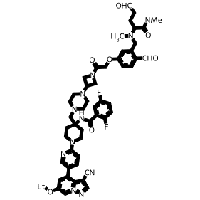 CCOc1cc(-c2ccc(N3CCC(CN4CCN(C5CN(C(=O)COc6ccc(C=O)c(CN(C)C(CCC=O)C(=O)NC)c6)C5)CC4)(NC(=O)c4cc(F)ccc4F)CC3)nc2)c2c(C#N)cnn2c1